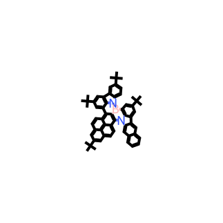 CC(C)(C)c1cc2ccc3c4c5c(c6ccc(c1)c2c36)-n1c2cc3ccccc3cc2c2cc(C(C)(C)C)cc(c21)B5n1c2ccc(C(C)(C)C)cc2c2cc(C(C)(C)C)cc-4c21